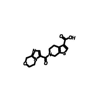 O=C(O)c1csc2c1CCN(C(=O)c1cnc3n1CCOC3)C2